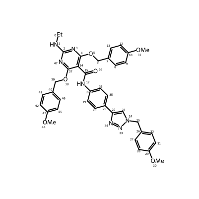 CCNc1nc(OCc2ccc(OC)cc2)c(C(=O)Nc2ccc(-c3cn(Cc4ccc(OC)cc4)nn3)cc2)c(OCc2ccc(OC)cc2)n1